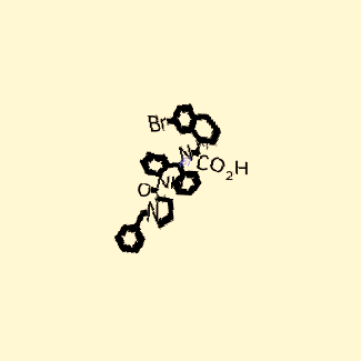 O=C(O)C(/N=C(\c1ccccc1)c1ccccc1NC(=O)[C@@H]1CCCN1Cc1ccccc1)[C@@H]1CCCc2ccc(Br)cc21